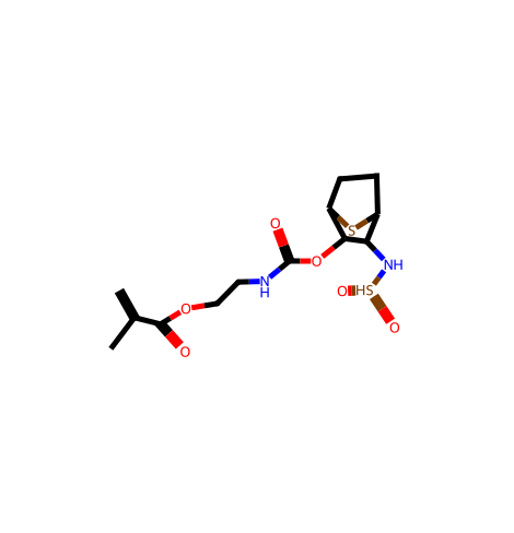 C=C(C)C(=O)OCCNC(=O)OC1C2CCC(S2)C1N[SH](=O)=O